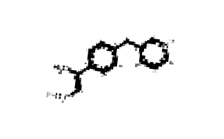 CCOC(=O)C=C(C)c1ccc(Cc2cccnc2)cc1